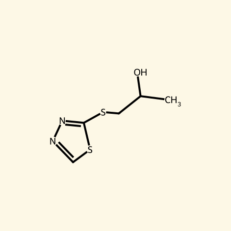 CC(O)CSc1nncs1